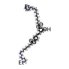 CC/C=C\C/C=C\C/C=C\CCCCCCCC(=O)Oc1ccc(C=Cc2cc(O)cc(OC(=O)CCCCCCC/C=C\C/C=C\C/C=C\CC)c2)cc1